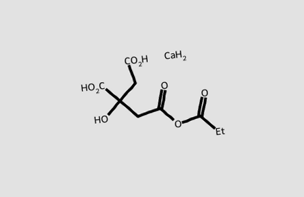 CCC(=O)OC(=O)CC(O)(CC(=O)O)C(=O)O.[CaH2]